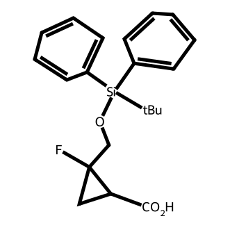 CC(C)(C)[Si](OCC1(F)CC1C(=O)O)(c1ccccc1)c1ccccc1